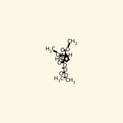 C=CCOC(=O)N[C@@]1(C(=O)OCOC(=O)OC(C)C)CC[C@H]2[C@H](C(=O)OCC=C)[C@H]21